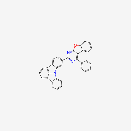 c1ccc(-c2nc(-c3ccc4c5cccc6c7ccccc7n(c4c3)c65)nc3oc4ccccc4c23)cc1